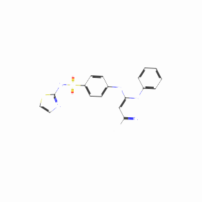 CC(=N)/C=C(\Nc1ccccc1)Nc1ccc(S(=O)(=O)Nc2nccs2)cc1